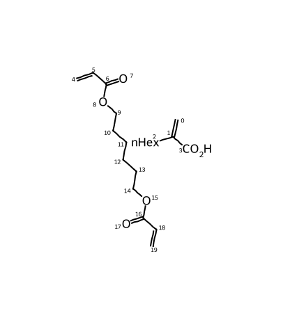 C=C(CCCCCC)C(=O)O.C=CC(=O)OCCCCCCOC(=O)C=C